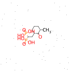 CC1CCCC(CC(P(=O)(O)O)P(=O)(O)O)C1=O